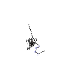 CCCCC/C=C\C/C=C\C/C=C\C/C=C\CCCCC(OP(=O)([O-])OCC[N+](C)(C)C)(C(=O)[14CH2]CCCCCCCCCCCCCC)[C@@H](O)CO